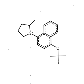 CC1CCC[S+]1c1ccc(OC(C)(C)C)c2ccccc12